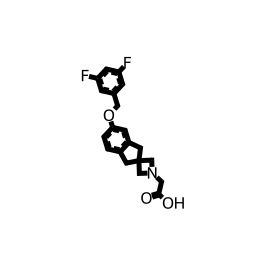 O=C(O)CN1CC2(Cc3ccc(OCc4cc(F)cc(F)c4)cc3C2)C1